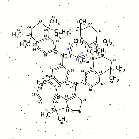 C/C=C(\C=C/C1=CC(C)(C)CCC1(C)C)N(c1cc(C)cc(N(C2=C3C4=C(C=CCC=C4)C(C)(C)C3CCC2)c2ccc3c(c2)C(C)(C)CCC3(C)C)c1)c1ccc2c(c1)C(C)(C)CCC2(C)C